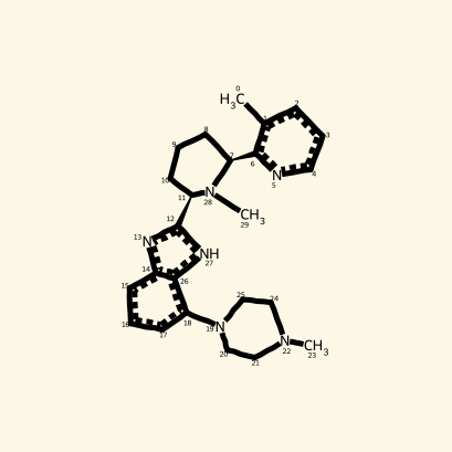 Cc1cccnc1[C@@H]1CCC[C@H](c2nc3cccc(N4CCN(C)CC4)c3[nH]2)N1C